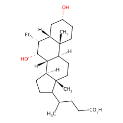 CC[C@H]1[C@@H](O)[C@@H]2[C@H](CC[C@]3(C)C(C(C)CCC(=O)O)CC[C@@H]23)[C@@]2(C)CC[C@@H](O)C[C@@H]12